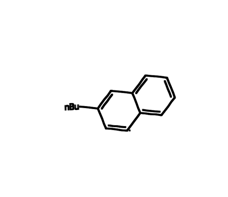 CCCCc1c[c]c2ccccc2c1